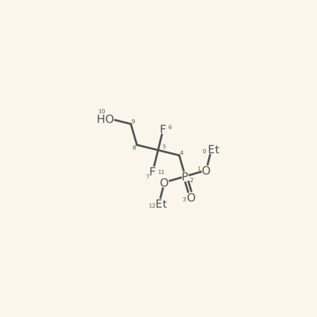 CCOP(=O)(CC(F)(F)CCO)OCC